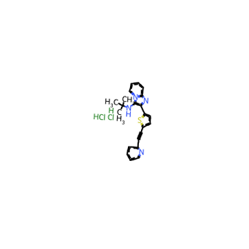 CC(C)(C)Nc1c(-c2ccc(C#Cc3ccccn3)s2)nc2ccccn12.Cl.Cl